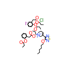 CCC(=O)Oc1ccccc1CC(=O)OC(Cl)CC.CCCCCCOc1nsnc1C1=CCC[N+](C)(C(CC)OC(=O)Cc2ccccc2OC(=O)CC)C1.[I-]